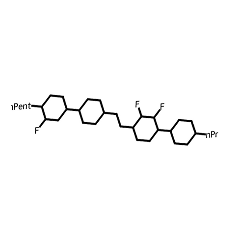 CCCCCC1CCC(C2CCC(CCC3CCC(C4CCC(CCC)CC4)C(F)C3F)CC2)CC1F